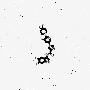 O=C(Nc1c[nH]c2cc(F)c(F)cc12)c1cn(-c2cnc(N3CCC(F)(F)CC3)c(F)c2)cn1